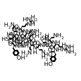 C[C@@H](O)[C@H](N)C(=O)N[C@@H](Cc1ccc(O)cc1)C(=O)N[C@H](C(=O)N[C@@H](CC(N)=O)C(=O)N[C@@H](CCCNC(=N)N)C(=O)N[C@@H](CCN)C(=O)N[C@H](C(=O)N[C@H](CCN)C(=O)N[C@@H](CCN)C(=O)N[C@@H](CS)C(=O)N[C@@H](CCN)C(=O)N[C@@H](CCCNC(=N)N)C(=O)N[C@@H](Cc1ccc(O)cc1)C(=O)O)[C@@H](C)O)C(C)(C)S